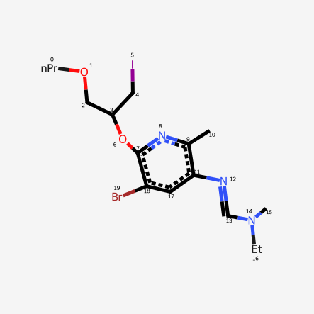 CCCOCC(CI)Oc1nc(C)c(N=CN(C)CC)cc1Br